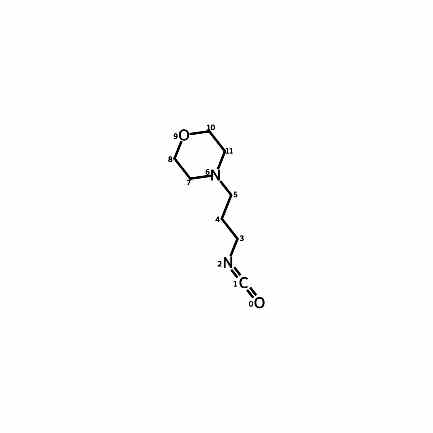 O=C=NCCCN1CCOCC1